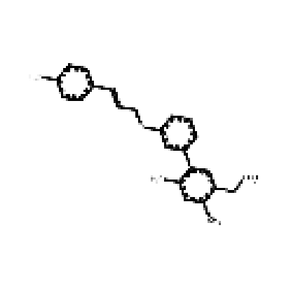 Cc1cc(C)c(-c2cccc(OCC=Cc3ccc(C(F)(F)F)cc3)c2)cc1CC(=O)O